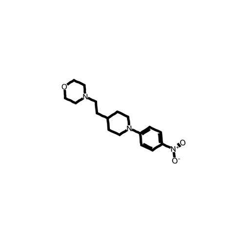 O=[N+]([O-])c1ccc(N2CCC(CCN3CCOCC3)CC2)cc1